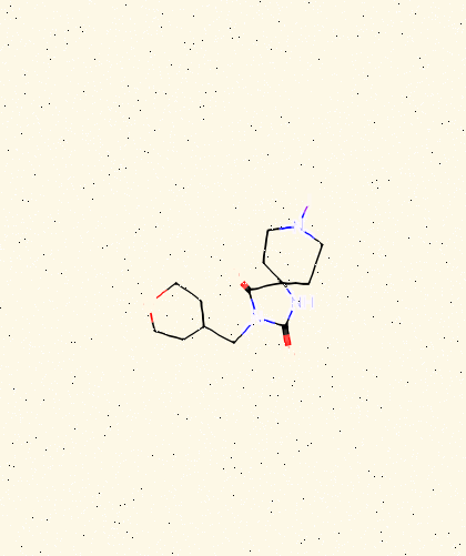 O=C1NC2(CCN(I)CC2)C(=O)N1CC1CCOCC1